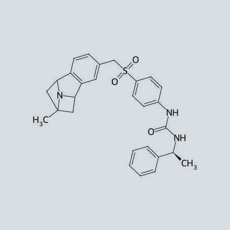 C[C@H](NC(=O)Nc1ccc(S(=O)(=O)Cc2ccc3c(c2)C2CC4(C)CC3N24)cc1)c1ccccc1